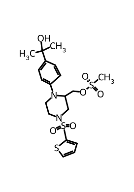 CC(C)(O)c1ccc(N2CCN(S(=O)(=O)c3cccs3)CC2COS(C)(=O)=O)cc1